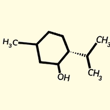 CC1CC[C@H](C(C)C)C(O)C1